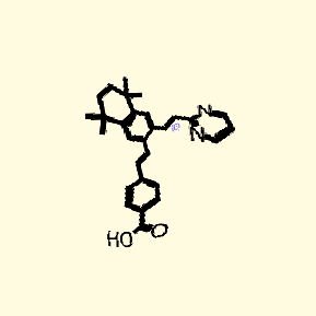 CC1(C)CCC(C)(C)c2cc(/C=C/c3ncccn3)c(C=Cc3ccc(C(=O)O)cc3)cc21